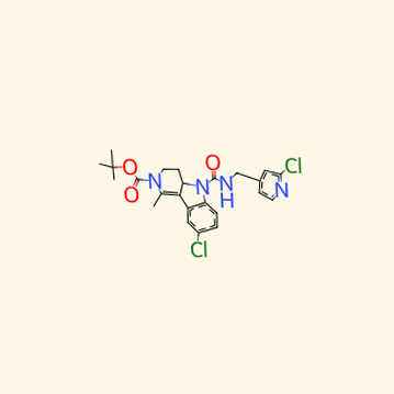 CC1=C2c3cc(Cl)ccc3N(C(=O)NCc3ccnc(Cl)c3)C2CCN1C(=O)OC(C)(C)C